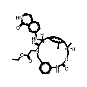 CCOC(=O)CN1Cc2cccc(c2)NC(=O)OC[C@H](C)c2ccc(cc2C)[C@@H](Nc2ccc3cc[nH]c(=O)c3c2)C1=O